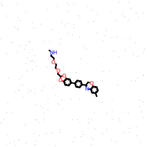 CNCCOCCOCC1Oc2ccc(-c3ccc(C4=Nc5cc(C)ccc5OC4)cc3)cc2O1